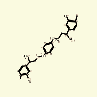 Cc1ccc(C(N)COBc2ccc(BOCC(N)c3ccc(C)c(Cl)c3)cc2)cc1Cl